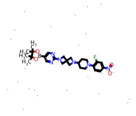 CC1(C)OB(c2cnc(N3CC4(C3)CN(C3CCN(c5ccc([N+](=O)[O-])cc5F)CC3)C4)nc2)OC1(C)C